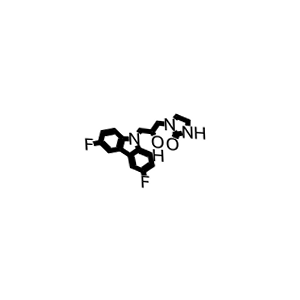 O=C1NCCN1CC(O)Cn1c2ccc(F)cc2c2cc(F)ccc21